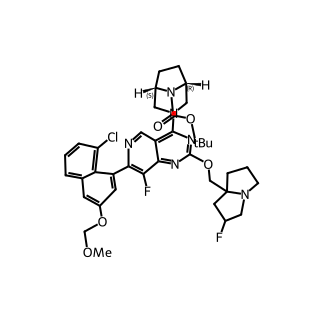 COCOc1cc(-c2ncc3c(N4C[C@H]5CC[C@@H](C4)N5C(=O)OC(C)(C)C)nc(OCC45CCCN4CC(F)C5)nc3c2F)c2c(Cl)cccc2c1